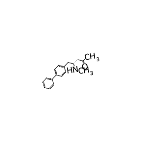 CN[C@@H](CC(C)=O)Cc1ccc(-c2ccccc2)cc1